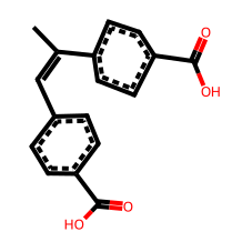 CC(=Cc1ccc(C(=O)O)cc1)c1ccc(C(=O)O)cc1